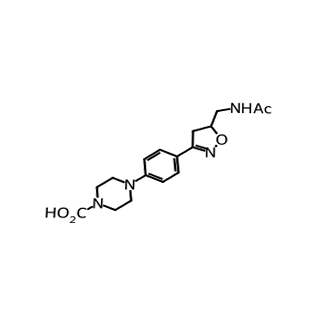 CC(=O)NCC1CC(c2ccc(N3CCN(C(=O)O)CC3)cc2)=NO1